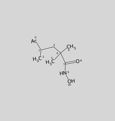 CC(=O)C(C)CC(C)(C)C(=O)NO